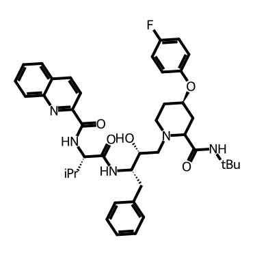 CC(C)[C@H](NC(=O)c1ccc2ccccc2n1)C(=O)N[C@@H](Cc1ccccc1)[C@H](O)CN1CC[C@@H](Oc2ccc(F)cc2)CC1C(=O)NC(C)(C)C